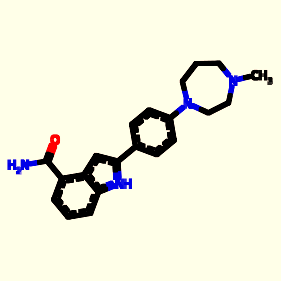 CN1CCCN(c2ccc(-c3cc4c(C(N)=O)cccc4[nH]3)cc2)CC1